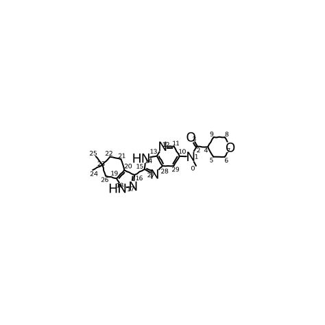 CN(C(=O)C1CCOCC1)c1cnc2[nH]c(-c3n[nH]c4c3CCC(C)(C)C4)nc2c1